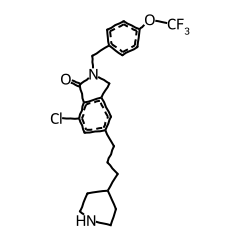 O=C1c2c(Cl)cc(CCCC3CCNCC3)cc2CN1Cc1ccc(OC(F)(F)F)cc1